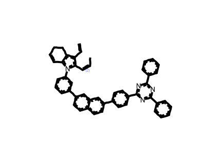 C=Cc1c2c(n(-c3cccc(-c4ccc5ccc(-c6ccc(-c7nc(-c8ccccc8)nc(-c8ccccc8)n7)cc6)cc5c4)c3)c1/C=C\C)C=CCC2